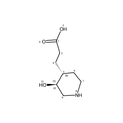 O=C(O)CC[C@@H]1CCNC[C@H]1O